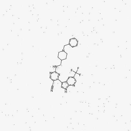 N#Cc1cnc(NCC2CCN(Cc3ccccc3)CC2)nc1-c1c[nH]c2ncc(C(F)(F)F)cc12